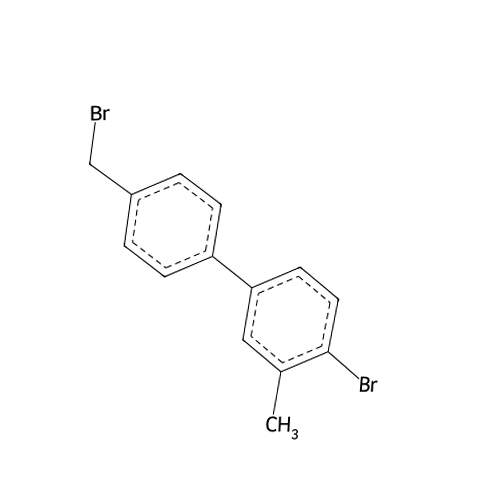 Cc1cc(-c2ccc(CBr)cc2)ccc1Br